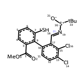 COC(=O)c1cccc(S)c1-c1ccc(Cl)c(Cl)c1/C=N/[S+]([O-])C(C)(C)C